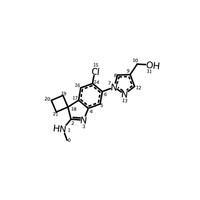 CNC1=Nc2cc(-n3cc(CO)cn3)c(Cl)cc2C12CCC2